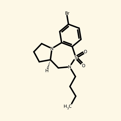 CCCCN1C[C@H]2CCCN2c2cc(Br)ccc2S1(=O)=O